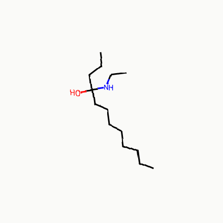 CCCCCCCCC(O)(CCC)NCC